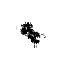 N=C(N)NCCC[C@H](NC(=O)[C@H](Cc1ccccc1)NC(=O)[C@@H]1CCCN1C(=O)[C@H](CO)NC(=O)[C@H](Cc1ccccc1)NC(=O)CNC(=O)[C@@H]1CCCN1C(=O)[C@@H]1CCCN1C(=O)[C@@H](N)CCCNC(=N)N)C(=O)N[C@@H](Cc1c[nH]c2ccccc12)C(=O)N[C@@H](Cc1c[nH]c2ccccc12)C(=O)O